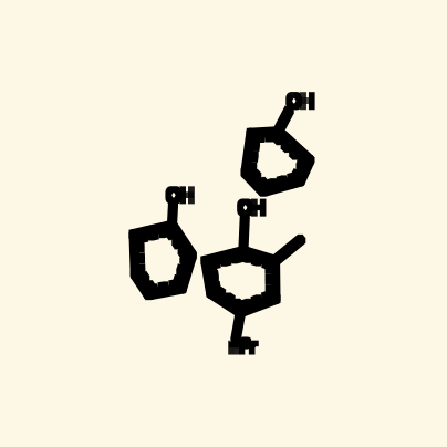 CCCc1ccc(O)c(C)c1.Oc1ccccc1.Oc1ccccc1